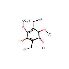 CCOc1c(CC(C)C)c(O)c(OC(=O)O)c(CC(C)C)c1OCC